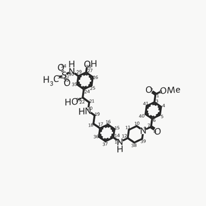 COC(=O)c1ccc(C(=O)N2CCC(Nc3ccc(CCNC[C@@H](O)c4ccc(O)c(NS(C)(=O)=O)c4)cc3)CC2)cc1